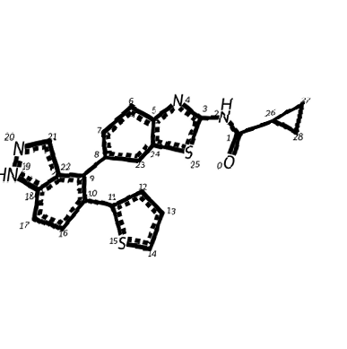 O=C(Nc1nc2ccc(-c3c(-c4cccs4)ccc4[nH]ncc34)cc2s1)C1CC1